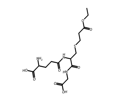 CCOC(=O)CCSCC(NC(=O)CCC(N)C(=O)O)C(=O)NCC(=O)O